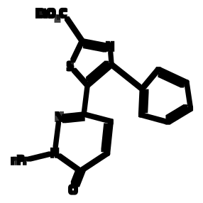 CCCn1nc(-c2sc(C(=O)OCC)nc2-c2ccccc2)ccc1=O